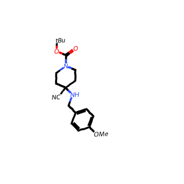 COc1ccc(CNC2(C#N)CCN(C(=O)OC(C)(C)C)CC2)cc1